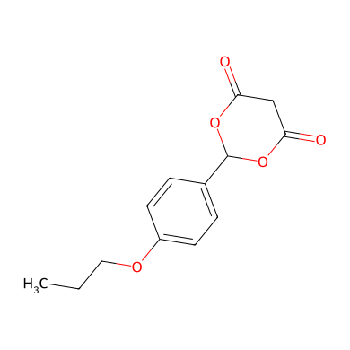 CCCOc1ccc(C2OC(=O)CC(=O)O2)cc1